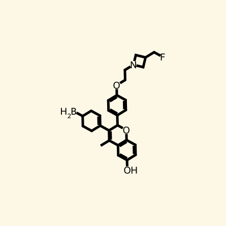 BC1CC=C(C2=C(C)c3cc(O)ccc3OC2c2ccc(OCCN3CC(CF)C3)cc2)CC1